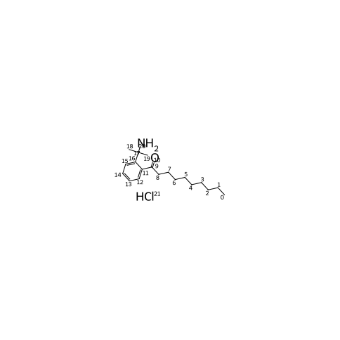 CCCCCCCCCC(=O)c1ccccc1C(C)(C)N.Cl